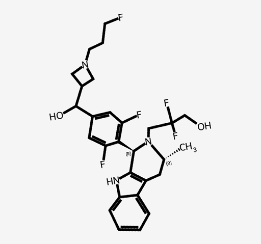 C[C@@H]1Cc2c([nH]c3ccccc23)[C@@H](c2c(F)cc(C(O)C3CN(CCCF)C3)cc2F)N1CC(F)(F)CO